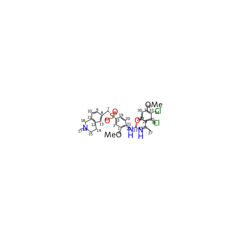 COc1cc(S(=O)(=O)Cc2ccc3c(c2)CCN(C)C3)ccc1NC(=O)N[C@H](C)c1ccc(OC)c(Cl)c1Cl